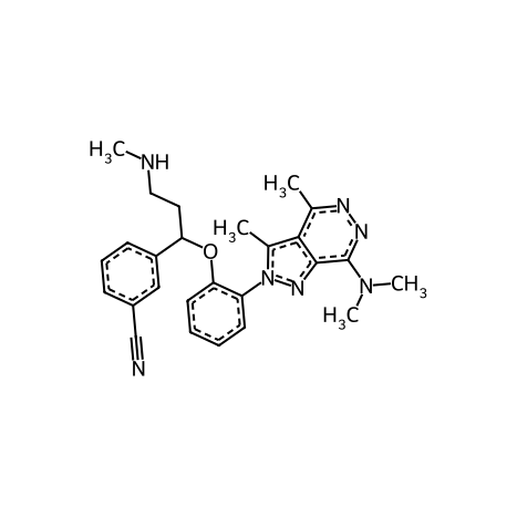 CNCCC(Oc1ccccc1-n1nc2c(N(C)C)nnc(C)c2c1C)c1cccc(C#N)c1